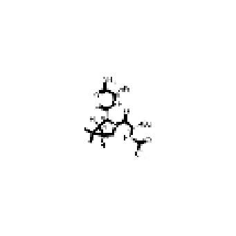 CC(C)[C@H](NC(=O)[C@@H]1[C@@H]2[C@H](CN1C(=O)[C@@H](NC(=O)C(F)(F)F)C(C)(C)C)C2(C)C)C(N)=O